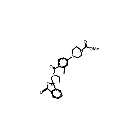 COC(=O)N1CCN(c2ccc(C(=O)N3CC[C@@]4(C3)OC(=O)c3ccccc34)c(C)c2)CC1